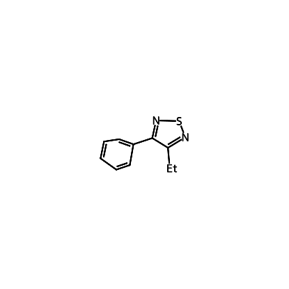 CCc1nsnc1-c1ccccc1